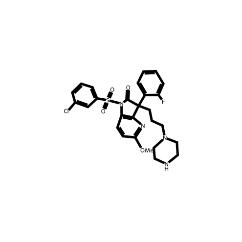 COc1ccc2c(n1)C(CCCN1CCNCC1)(c1ccccc1F)C(=O)N2S(=O)(=O)c1cccc(Cl)c1